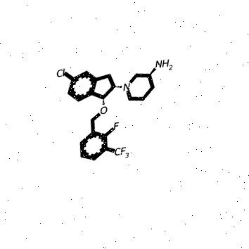 N[C@H]1CCCN([C@H]2Cc3cc(Cl)ccc3[C@H]2OCc2cccc(C(F)(F)F)c2F)C1